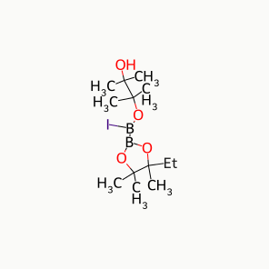 CCC1(C)OB(B(I)OC(C)(C)C(C)(C)O)OC1(C)C